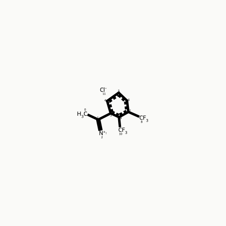 CC(=[N+])c1cccc(C(F)(F)F)c1C(F)(F)F.[Cl-]